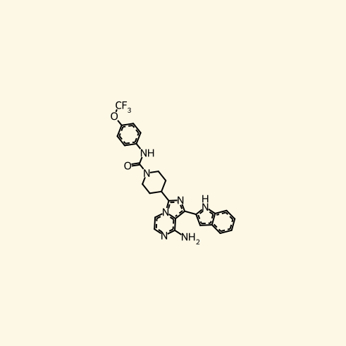 Nc1nccn2c(C3CCN(C(=O)Nc4ccc(OC(F)(F)F)cc4)CC3)nc(-c3cc4ccccc4[nH]3)c12